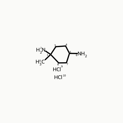 CC1(N)CCC(N)CC1.Cl.Cl